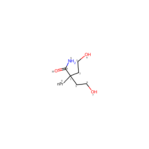 CCCC(CCO)(CCO)C(N)=O